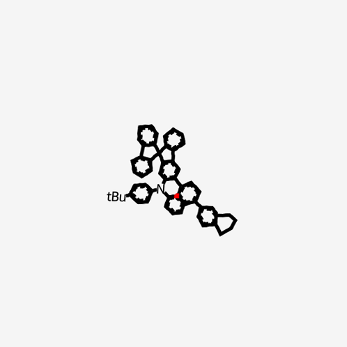 CC(C)(C)c1ccc(N(c2ccccc2)c2cc3c(cc2-c2ccc(-c4ccc5c(c4)CCCC5)cc2)-c2ccccc2C32c3ccccc3-c3ccccc32)cc1